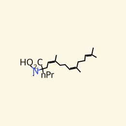 CCCC(CC=C(C)CCC=C(C)CCC=C(C)C)(C(=O)O)N(C)C